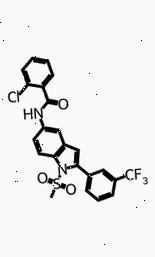 CS(=O)(=O)n1c(-c2cccc(C(F)(F)F)c2)cc2cc(NC(=O)c3ccccc3Cl)ccc21